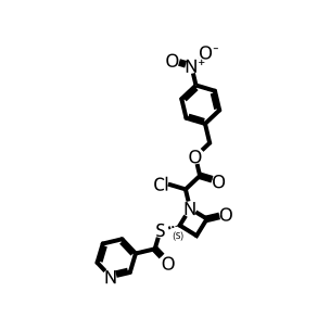 O=C(S[C@H]1CC(=O)N1C(Cl)C(=O)OCc1ccc([N+](=O)[O-])cc1)c1cccnc1